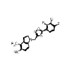 N#Cc1ccc2c(c1C(F)(F)F)CCN2Cc1noc(-c2ccc(F)c(Cl)c2F)n1